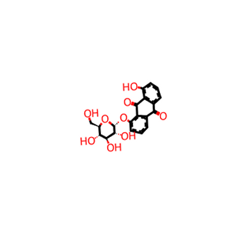 O=C1c2cccc(O)c2C(=O)c2c(O[C@H]3O[C@H](CO)[C@@H](O)[C@H](O)[C@H]3O)cccc21